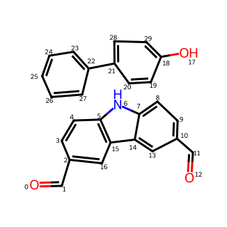 O=Cc1ccc2[nH]c3ccc(C=O)cc3c2c1.Oc1ccc(-c2ccccc2)cc1